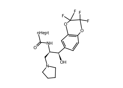 CCCCCCCC(=O)N[C@H](CN1CCCC1)[C@H](O)c1ccc2c(c1)OC(F)(F)C(F)(F)O2